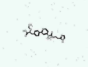 CCOC(Cc1ccc(-c2cc(N(C)C(=O)NCCc3ncc[nH]3)ccn2)cc1)C(=O)O